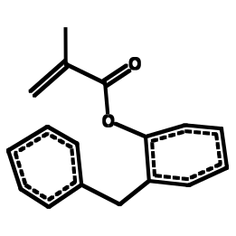 C=C(C)C(=O)Oc1ccccc1Cc1ccccc1